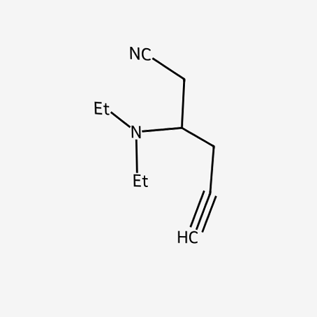 C#CCC(CC#N)N(CC)CC